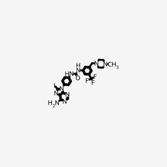 CN1CCN(Cc2cc(NC(=O)Nc3ccc(-n4c(I)nc5c(N)ncnc54)cc3)cc(C(F)(F)F)c2)CC1